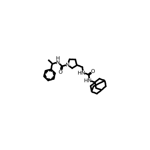 CC(NC(=O)N1CCC(CNC(=O)NC23CC4CC(CC(C4)C2)C3)C1)c1ccccc1